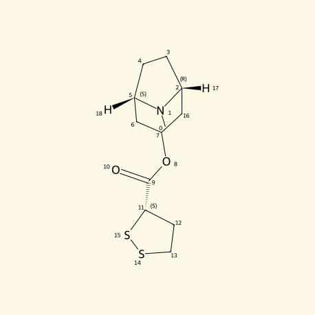 CN1[C@@H]2CC[C@H]1CC(OC(=O)[C@@H]1CCSS1)C2